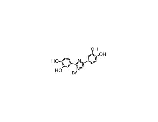 Oc1ccc(-c2cn(Br)c(-c3ccc(O)c(O)c3)n2)cc1O